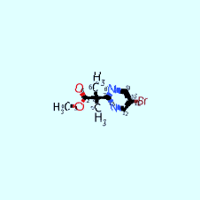 COC(=O)C(C)(C)c1ncc(Br)cn1